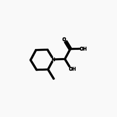 CC1CCCCN1C(O)C(=O)O